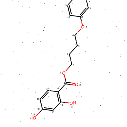 O=C(OCCCCOc1ccccc1)c1ccc(O)cc1O